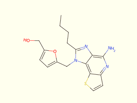 CCCCc1nc2c(N)nc3ccsc3c2n1Cc1ccc(CO)o1